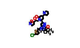 CC(C)(C)C(=O)n1nc(-c2cc(-c3ccccn3)cc(=O)n2CC(=O)c2ccno2)cc1NCc1ccc(Cl)s1